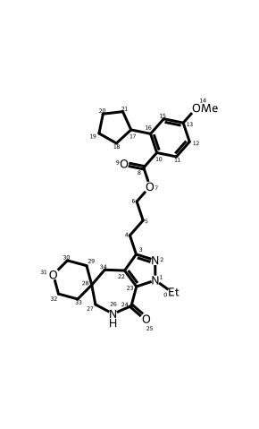 CCn1nc(CCCOC(=O)c2ccc(OC)cc2C2CCCC2)c2c1C(=O)NCC1(CCOCC1)C2